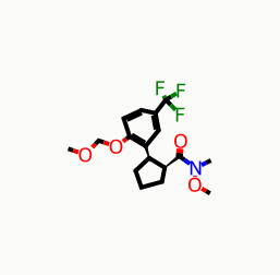 COCOc1ccc(C(F)(F)F)cc1[C@@H]1CCC[C@@H]1C(=O)N(C)OC